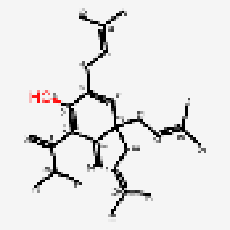 C=C(C1=C(O)C(CC=C(C)C)=CC(CC=C(C)C)(CC=C(C)C)C1=C)C(C)C